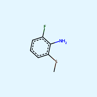 CSc1cccc(F)c1N